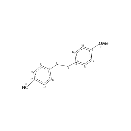 COc1ccc(CCc2ccc(C#N)cc2)cc1